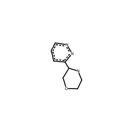 c1cnnc(C2COCC[N]2)c1